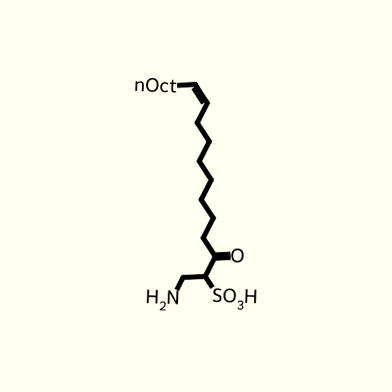 CCCCCCCC/C=C\CCCCCCCC(=O)C(CN)S(=O)(=O)O